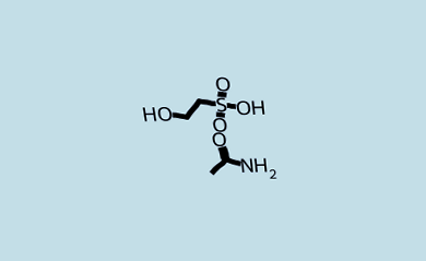 CC(N)=O.O=S(=O)(O)CCO